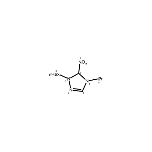 CCCCCCN1N=CN(C(C)C)C1[N+](=O)[O-]